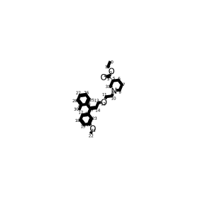 CCOC(=O)[C@@H]1CCCN(CCOCC=C(c2cccc(OC)c2)c2ccccc2C)C1